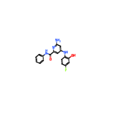 Nc1cc(Nc2ccc(F)cc2O)cc(C(=O)Nc2ccccc2)n1